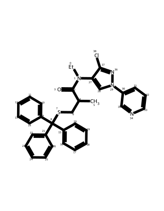 CCN(C(=O)C(C)CSC(c1ccccc1)(c1ccccc1)c1ccccc1)c1cn(-c2cccnc2)nc1Cl